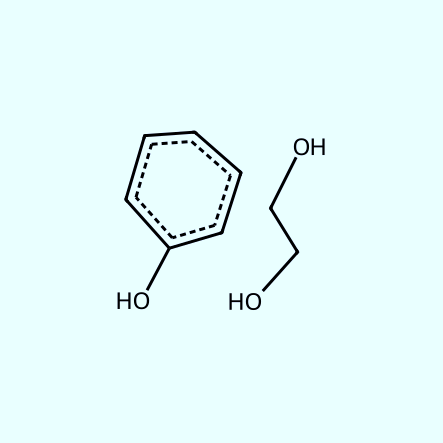 OCCO.Oc1ccccc1